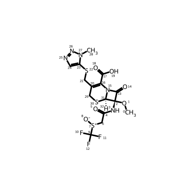 CO[C@@]1(NC(=O)C[S+]([O-])C(F)(F)F)C(=O)N2C(C(=O)O)=C(CSc3cnnn3C)CS[C@@H]21